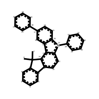 CC1(C)c2ccccc2-c2ccc3c(c21)c1cc(-c2ccccc2)ccc1n3-c1ccccc1